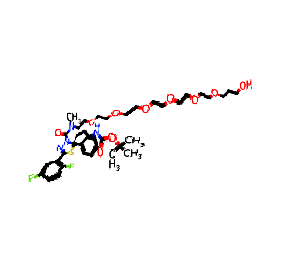 CN(CCOCCOCCOCCOCCOCCOCCCO)C(=O)N1N=C(c2cc(F)ccc2F)S[C@@]1(CCCNC(=O)OC(C)(C)C)c1ccccc1